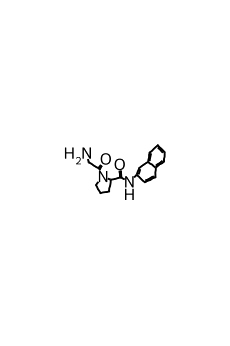 NCC(=O)N1CCCC1C(=O)Nc1ccc2ccccc2c1